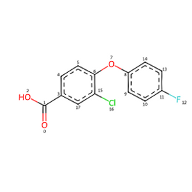 O=C(O)c1ccc(Oc2ccc(F)cc2)c(Cl)c1